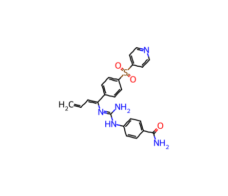 C=C/C=C(\N=C(/N)Nc1ccc(C(N)=O)cc1)c1ccc(S(=O)(=O)c2ccncc2)cc1